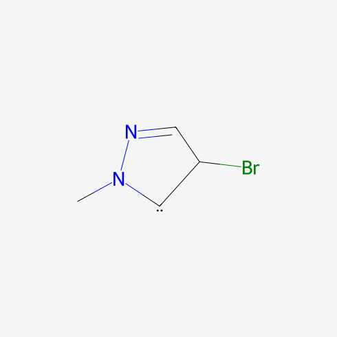 CN1[C]C(Br)C=N1